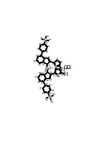 CCc1ccc(C2=Cc3c(-c4ccc([Si](C)(C)C)cc4)cccc3[CH]2[Zr+2][CH]2C(c3ccc(CC)s3)=Cc3c(-c4ccc([Si](C)(C)C)cc4)cccc32)s1.[Cl-].[Cl-]